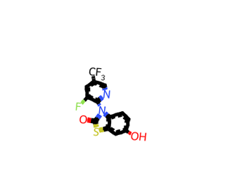 O=c1sc2cc(O)ccc2n1-c1ncc(C(F)(F)F)cc1F